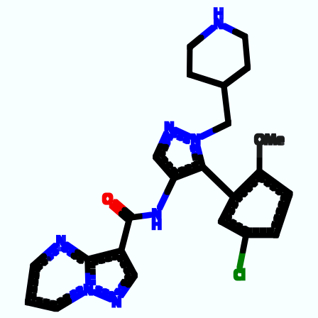 COc1ccc(Cl)cc1-c1c(NC(=O)c2cnn3cccnc23)cnn1CC1CCNCC1